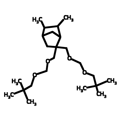 CC1C2CC(C1C)C(COCOCC(C)(C)C)(COCOCC(C)(C)C)C2